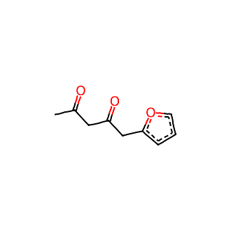 CC(=O)CC(=O)Cc1ccco1